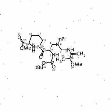 C=C(NCN(CCC)C[C@H](NC(=O)OC(C)(C)C)C(=O)N1CCC[C@@H](C(=O)OC)N1)[C@H](C)OC